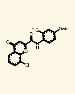 COc1ccc(NC(=O)c2cc(=O)c3cccc(Cl)c3o2)c(C(F)(F)F)c1